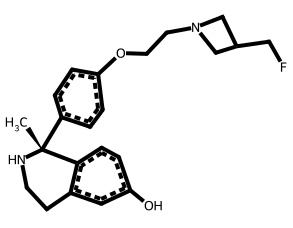 C[C@]1(c2ccc(OCCN3CC(CF)C3)cc2)NCCc2cc(O)ccc21